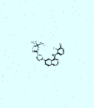 CC(C)(C)OC(=O)N1CC[C@H](c2ccc3ncnc(Nc4cccc(Cl)c4F)c3c2)C1